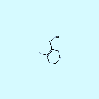 CC(C)C1=C(SC(C)(C)C)COCC1